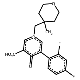 CC1(Cn2cc(C(=O)O)c(=O)c(-c3ccc(F)cc3F)c2)CCOCC1